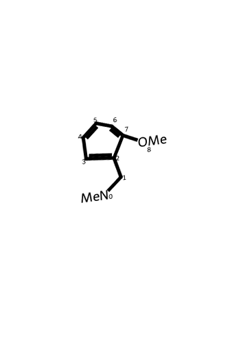 CNCc1ccccc1OC